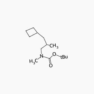 CC(CC1CCC1)CN(C)C(=O)OC(C)(C)C